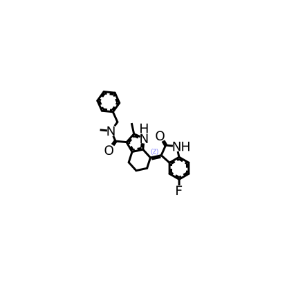 Cc1[nH]c2c(c1C(=O)N(C)Cc1ccccc1)CCC/C2=C1/C(=O)Nc2ccc(F)cc21